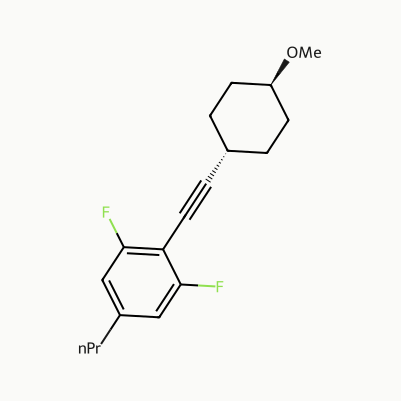 CCCc1cc(F)c(C#C[C@H]2CC[C@H](OC)CC2)c(F)c1